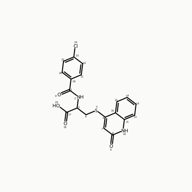 O=C(NC(CSc1cc(=O)[nH]c2ccccc12)C(=O)O)c1ccc(Cl)cc1